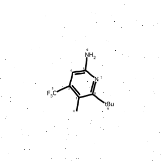 Cc1c(C(F)(F)F)cc(N)nc1C(C)(C)C